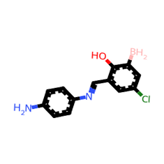 Bc1cc(Cl)cc(/C=N/c2ccc(N)cc2)c1O